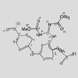 CCC(=O)Nc1ccc(Sc2ccc(C(=O)CC)cc2)cc1NC(=NC(=O)OC)NC(=O)OC